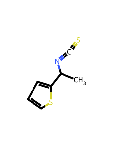 CC(N=C=S)c1cccs1